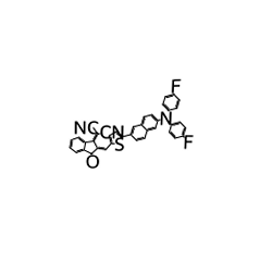 N#CC(C#N)=C1/C(=C\c2ccc(-c3ccc4cc(N(c5ccc(F)cc5)c5ccc(F)cc5)ccc4c3)s2)C(=O)c2ccccc21